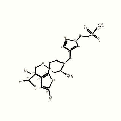 C[C@H]1C[C@@]2(CCN1Cc1cnn(CCS(C)(=O)=O)c1)OC[C@](O)(C(F)F)c1cc(Cl)sc12